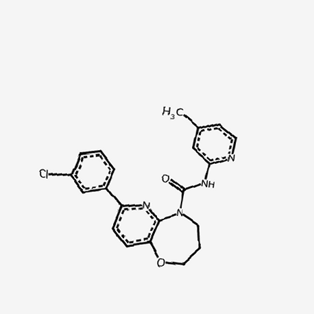 Cc1ccnc(NC(=O)N2CCCOc3ccc(-c4cccc(Cl)c4)nc32)c1